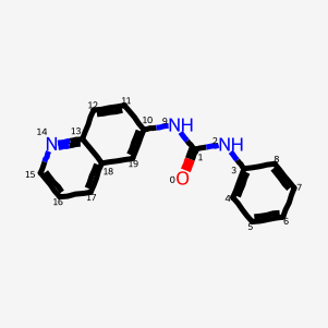 O=C(Nc1ccccc1)Nc1ccc2ncccc2c1